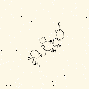 CC1(F)CCCN(CC(=O)Nc2nc3ccc(Cl)nc3n2C2CCC2)C1